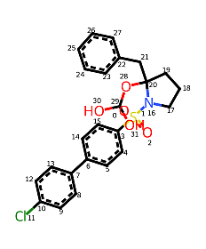 O=S(=O)(c1ccc(-c2ccc(Cl)cc2)cc1)N1CCCC1(Cc1ccccc1)OC(O)O